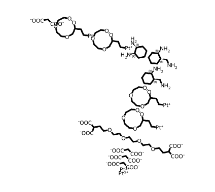 NC[C@H]1CCCC[C@H]1N.NC[C@H]1CCCC[C@H]1N.N[C@@H]1CCCC[C@H]1N.O=C([O-])C(CCOCCOCCOCCOCCC(C(=O)[O-])C(=O)[O-])C(=O)[O-].O=C([O-])CC(=O)[O-].O=C([O-])CC(=O)[O-].O=C([O-])CC(=O)[O-].O=C([O-])CC(=O)[O-].[Pt+2].[Pt+2].[Pt+][CH2]CC1COCCOCCOO1.[Pt+][CH2]CC1COCCOCCOO1.[Pt+][CH2]CC1COCCOCCOO1.[Pt+][CH2]CC1COCCOCCOO1